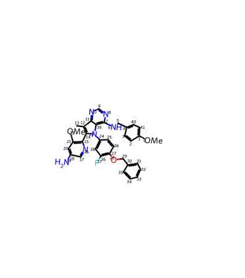 COc1ccc(CNc2ncnc3c(C)c(-c4ncc(N)cc4OC)n(-c4ccc(OCc5ccccc5)c(F)c4)c23)cc1